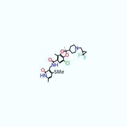 CSc1cc(C)[nH]c(=O)c1CNC(=O)c1cc(Cl)c2c(c1C)O[C@@](C)(C1CCN(CC3CC3(F)F)CC1)O2